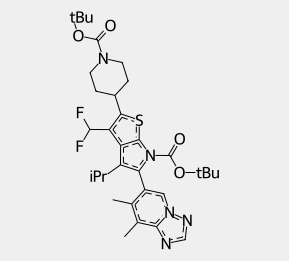 Cc1c(-c2c(C(C)C)c3c(C(F)F)c(C4CCN(C(=O)OC(C)(C)C)CC4)sc3n2C(=O)OC(C)(C)C)cn2ncnc2c1C